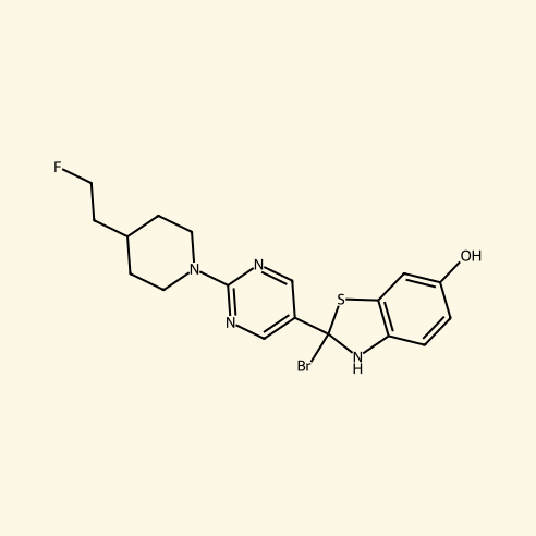 Oc1ccc2c(c1)SC(Br)(c1cnc(N3CCC(CCF)CC3)nc1)N2